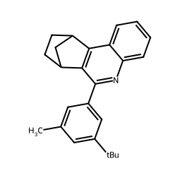 Cc1cc(-c2nc3ccccc3c3c2C2CCC3C2)cc(C(C)(C)C)c1